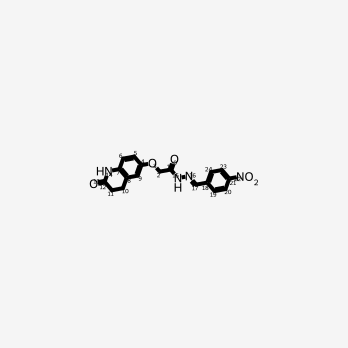 O=C(COc1ccc2c(c1)CCC(=O)N2)N/N=C/c1ccc([N+](=O)[O-])cc1